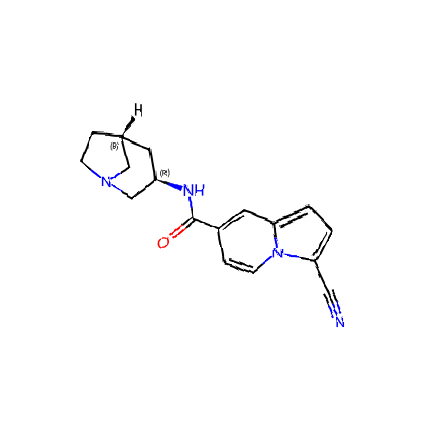 N#Cc1ccc2cc(C(=O)N[C@@H]3C[C@H]4CCN(C4)C3)ccn12